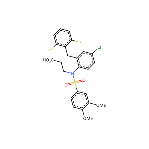 COc1ccc(S(=O)(=O)N(CCC(=O)O)c2ccc(Cl)cc2Cc2c(F)cccc2F)cc1OC